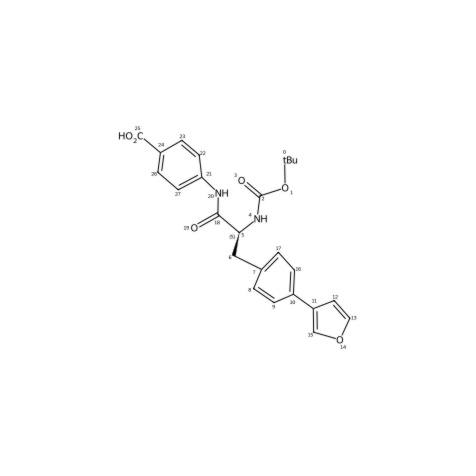 CC(C)(C)OC(=O)N[C@@H](Cc1ccc(-c2ccoc2)cc1)C(=O)Nc1ccc(C(=O)O)cc1